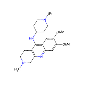 COc1cc2nc3c(c(NC4CCN(C(C)C)CC4)c2cc1OC)CCN(C)C3